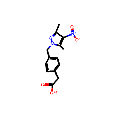 Cc1nn(Cc2ccc(CC(=O)O)cc2)c(C)c1[N+](=O)[O-]